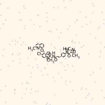 Cc1ccc2cccc(OCc3c(Cl)ccc(N(C)C(=O)CNC(=O)C=Cc4ccc(NC(=O)c5c(C)noc5C)cc4)c3Cl)c2n1